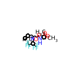 COc1ccc(NC(=O)CCC(Cc2ccc3ccccc3c2)N(C)C(=O)c2cc(C(F)(F)F)cc(C(F)(F)F)c2)cc1OC